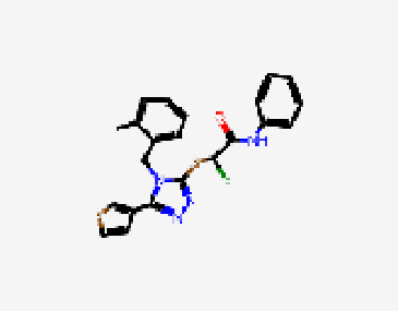 Cc1ccccc1Cn1c(SC(F)C(=O)Nc2ccccc2)nnc1-c1ccsc1